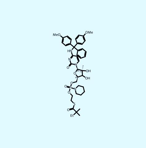 CCC(C)(C)C(=O)SCCOP(=O)(OC[C@H]1O[C@@H](n2ccc(NC(c3ccccc3)(c3ccc(OC)cc3)c3ccc(OC)cc3)nc2=O)[C@@](C)(O)C1O)N1CCCCC1